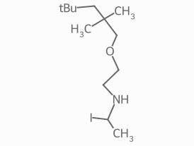 CC(I)NCCOCC(C)(C)CC(C)(C)C